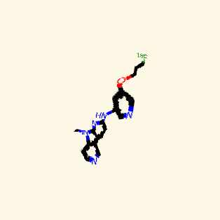 Cn1c2ccncc2c2ccc(Nc3cncc(OCCC[18F])c3)nc21